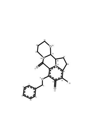 O=C1c2c(OCc3ccccc3)c(=O)c(I)c3n2C(CC3)C2OCCCN12